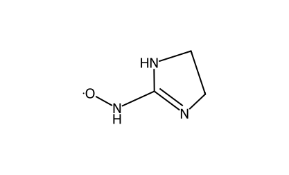 [O]NC1=NCCN1